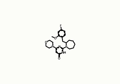 COc1cc(F)ccc1CC1CCCCCN1c1nc(N2CCOCC2)cc(=O)[nH]1